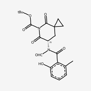 Cc1cccc(O)c1C(=O)N(C=O)[C@H]1CC2(CC2)C(=O)N(C(=O)OC(C)(C)C)C1=O